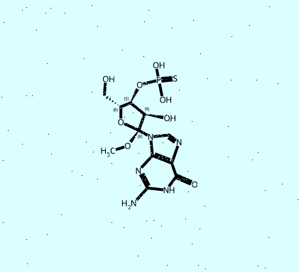 CO[C@@]1(n2cnc3c(=O)[nH]c(N)nc32)O[C@H](CO)[C@@H](OP(O)(O)=S)[C@H]1O